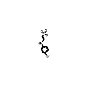 O=S(=O)(F)/C=C/Nc1ccc(Br)cc1